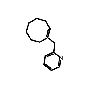 [CH]1CCC=C(Cc2ccccn2)CCC1